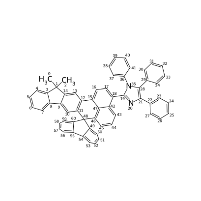 CC1(C)c2ccccc2-c2cc3c(cc21)-c1ccc(-c2nc(-c4ccccc4)c(-c4ccccc4)n2-c2ccccc2)c2cccc(c12)C31c2ccccc2-c2ccccc21